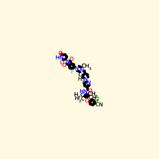 CC1CN(c2cc3c(cc2F)C(=O)N(C2CCC(=O)NC2=O)C3=O)CC(C)N1CC1CCN(c2ccc(C(=O)NC3C(C)(C)C(Oc4ccc(C#N)c(Cl)c4)C3(C)C)cn2)CC1